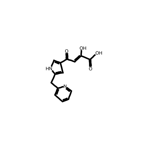 O=C(O)/C(O)=C/C(=O)c1c[nH]c(Cc2ccccn2)c1